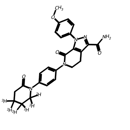 [2H]C1([2H])CC(=O)N(c2ccc(N3CCc4c(C(N)=O)nn(-c5ccc(OC)cc5)c4C3=O)cc2)C([2H])([2H])C1([2H])[2H]